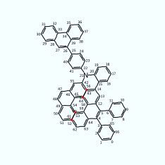 c1ccc(-c2c(-c3ccccc3)c3cc(-c4ccccc4N(c4ccc(-c5cc6ccccc6c6ccccc56)cc4)c4ccc5c(ccc6ccccc65)c4)ccc3c3ccccc23)cc1